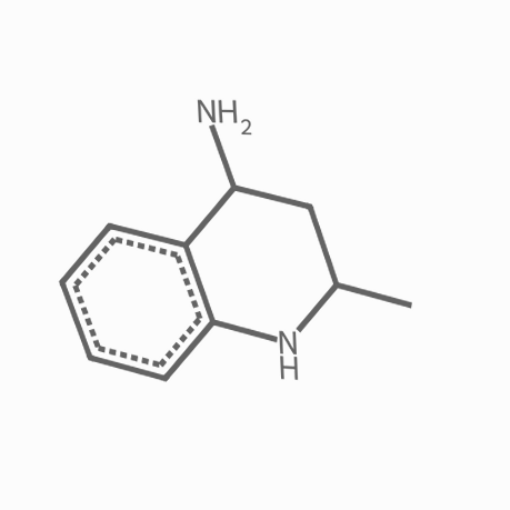 CC1CC(N)c2ccccc2N1